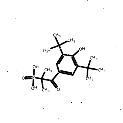 CC(C)(C)c1cc(C(=O)C(C)(C)P(=O)(O)O)cc(C(C)(C)C)c1O